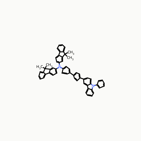 CC1(C)c2ccccc2-c2ccc(N(c3ccc(-c4ccc(-c5ccc6c(c5)c5ccccc5n6-c5ccccc5)cc4)cc3)c3ccc4c(c3)C(C)(C)c3ccccc3-4)cc21